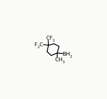 BC1(C)CCC(C(F)(F)F)(C(F)(F)F)CC1